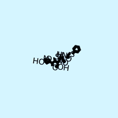 C=C(C1=C(C(=O)O)N2C(=O)[C@@H](NC(=O)CSc3ccccc3)[C@H]2SC1)c1cc(O)no1